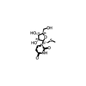 CSC[C@@]1(n2ccc(=O)[nH]c2=O)O[C@H](CO)[C@@H](O)[C@H]1O